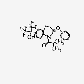 CC(C)C(=O)N1C[C@@H](Oc2ccccc2)CCc2cc(C(O)(C(F)(F)F)C(F)(F)F)ccc21